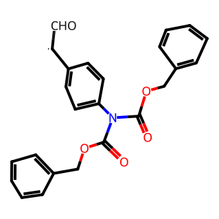 O=C[CH]c1ccc(N(C(=O)OCc2ccccc2)C(=O)OCc2ccccc2)cc1